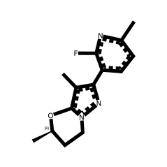 Cc1ccc(-c2nn3c(c2C)O[C@H](C)CC3)c(F)n1